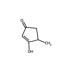 CC1CC(=O)C=C1O